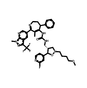 COCCCCN1C[C@@H](CNC(=O)NC2=C(C)C(c3cnc4c(c3)c(C(F)(F)F)nn4C)=NCCC2c2ccccc2)C(c2ccnc(F)c2)O1